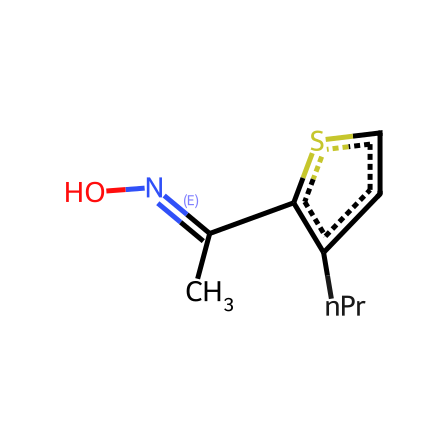 CCCc1ccsc1/C(C)=N/O